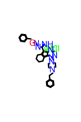 Cl.Cl.N=C(N=NOCc1ccccc1)c1c2ncnn(N3CCN(CCc4ccccc4)CC3)c-2c2c1CCCC2